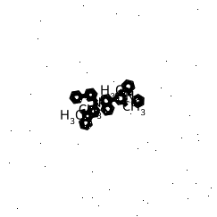 CC1CC(C2=CCC(N(c3cccc(C4C=CC=CC4)c3)c3ccc4c(c3)C(C)(C)C3C=CC=CC43)C3C=CCCC23)=CC2(C)C3=C(CCCC3)N(c3ccccc3)C12